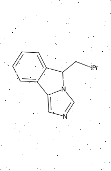 CC(C)CC1c2ccccc2-c2cncn21